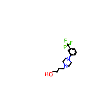 OCCCCN1CCN(c2cccc(C(F)(F)F)c2)CC1